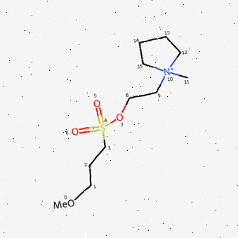 COCCCS(=O)(=O)OCC[N+]1(C)CCCC1